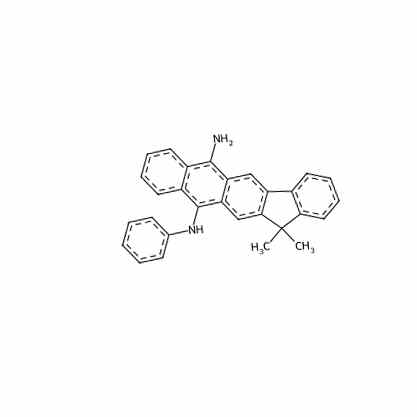 CC1(C)c2ccccc2-c2cc3c(N)c4ccccc4c(Nc4ccccc4)c3cc21